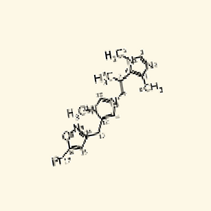 Cc1ncn(C)c1C(C)C[n+]1cc(Cc2cc(C(C)C)on2)n(C)c1